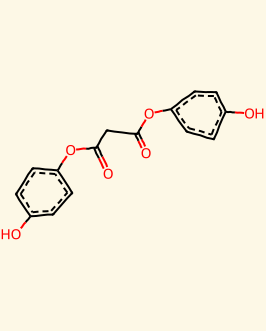 O=C(CC(=O)Oc1ccc(O)cc1)Oc1ccc(O)cc1